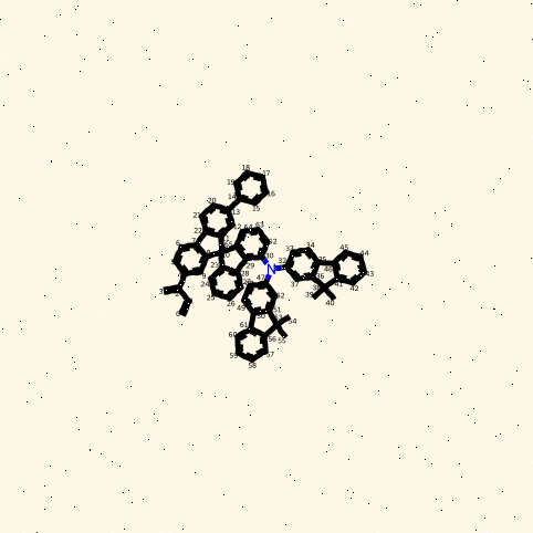 C=CC(=C)c1ccc2c(c1)C1(c3cc(-c4ccccc4)ccc3-2)c2ccccc2-c2c(N(c3ccc4c(c3)C(C)(C)c3ccccc3-4)c3ccc4c(c3)C(C)(C)c3ccccc3-4)cccc21